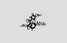 CCCCc1oc2ccc(NC(C)=O)cc2c1C(=O)c1ccc(O)cc1